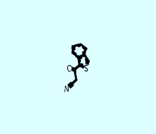 N#CCC(=O)c1scc2ccccc12